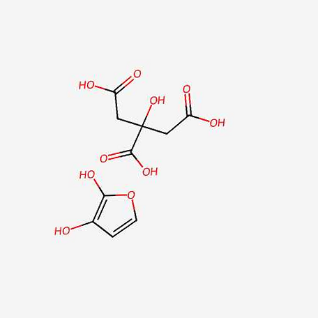 O=C(O)CC(O)(CC(=O)O)C(=O)O.Oc1ccoc1O